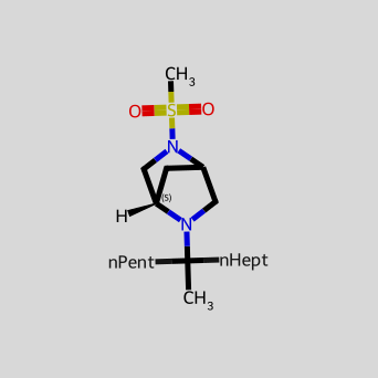 CCCCCCCC(C)(CCCCC)N1CC2C[C@H]1CN2S(C)(=O)=O